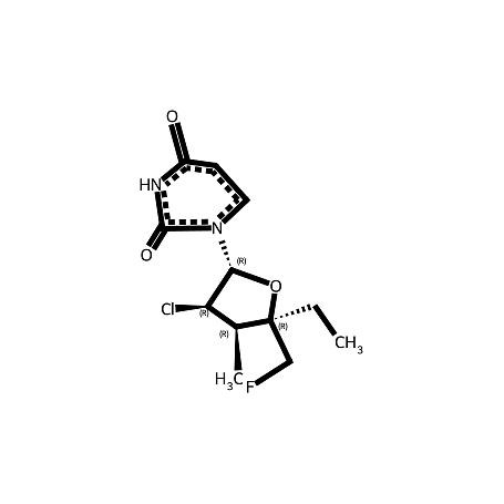 CC[C@@]1(CF)O[C@@H](n2ccc(=O)[nH]c2=O)[C@H](Cl)[C@@H]1C